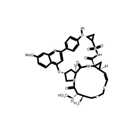 COc1ccc2c(O[C@@H]3C[C@H]4C(=O)N[C@]5(C(=O)NS(=O)(=O)C6CC6)C[C@H]5/C=C\CCCC[C@@H](C)[C@H](NC(=O)O)C(=O)N4C3)cc(-c3ccc(OC(C)C)cc3)nc2c1